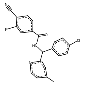 Cc1ccnc(C(NC(=O)c2ccc(C#N)c(F)c2)c2ccc(Cl)cc2)c1